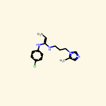 Cc1cncn1CCCN/C(=C/[N+](=O)[O-])Nc1ccc(Cl)cc1